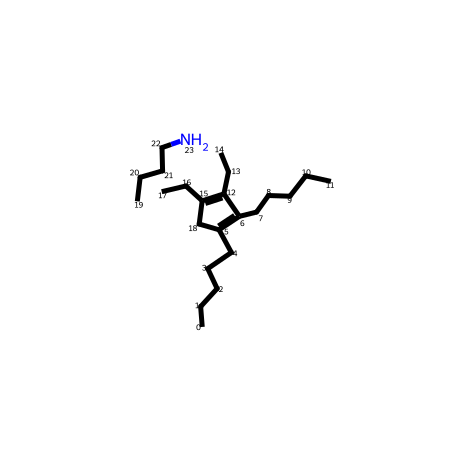 CCCCCC1=C(CCCCC)C(CC)=C(CC)C1.CCCCN